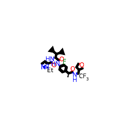 CCn1nccc1C(=O)N[C@H](C(=O)Nc1ccc([C@H](C)C(=O)NC(C2CCOC2)C(F)(F)F)cc1F)C(C1CC1)C1CC1